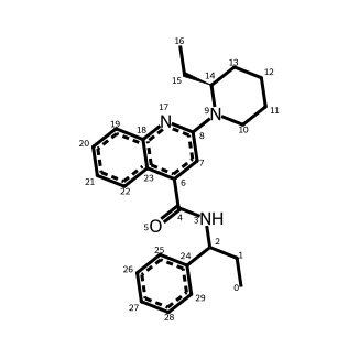 CCC(NC(=O)c1cc(N2CCCC[C@@H]2CC)nc2ccccc12)c1ccccc1